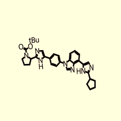 CC(C)(C)OC(=O)N1CCCC1c1ncc(-c2ccc(-n3cnc4c(-c5cnc(C6CCCC6)[nH]5)cccc43)cc2)[nH]1